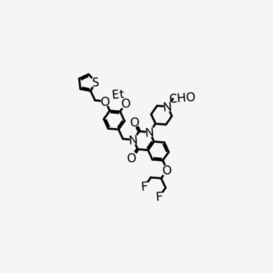 CCOc1cc(Cn2c(=O)c3cc(OC(CF)CF)ccc3n(C3CCN(C=O)CC3)c2=O)ccc1OCc1cccs1